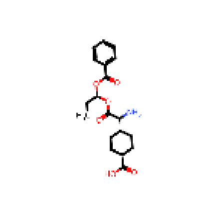 CCC(OC(=O)c1ccccc1)OC(=O)C(N)[C@H]1CC[C@H](C(=O)O)CC1